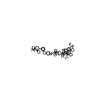 CC1(O)CCCC1n1c(=O)c(C(F)F)cc2cnc(NC3CCN(S(=O)(=O)CCN4CCC(Oc5cccc(C6CCC(=O)NC6=O)c5)CC4)CC3)nc21